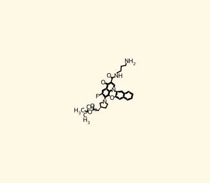 CC(C)(C)OC(=O)C[C@@H]1CCN(c2c(F)cc3c(=O)c(C(=O)NCCCCN)cn4c3c2Oc2cc3ccccc3cc2-4)C1